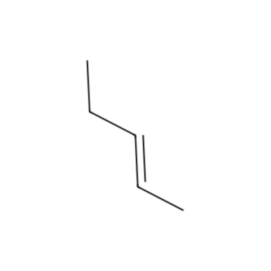 CC=CCC